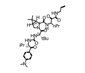 C=CCNC(=O)C(=O)C(CCC)NC(=O)[C@@H]1[C@@H]2[C@H](CN1C(=O)[C@@H](NC(=O)N[C@H](C(=O)c1ccc(N(C)C)cc1)C(C)C)C(C)(C)C)C2(C)C